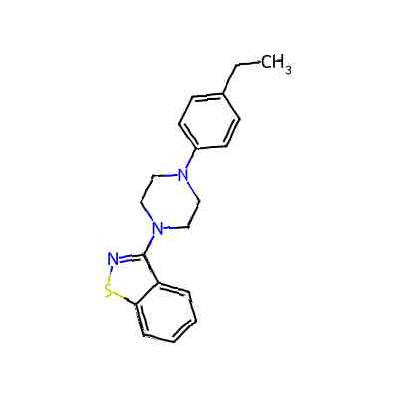 CCc1ccc(N2CCN(c3nsc4ccccc34)CC2)cc1